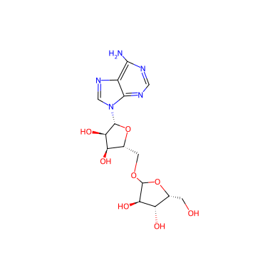 Nc1ncnc2c1ncn2[C@@H]1O[C@H](COC2O[C@H](CO)[C@H](O)[C@H]2O)[C@@H](O)[C@H]1O